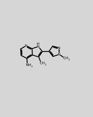 Cc1c(-c2cnn(C)c2)[nH]c2nccc(N)c12